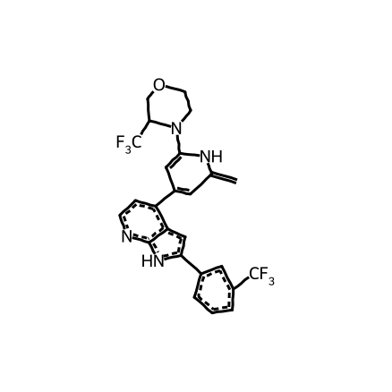 C=C1C=C(c2ccnc3[nH]c(-c4cccc(C(F)(F)F)c4)cc23)C=C(N2CCOCC2C(F)(F)F)N1